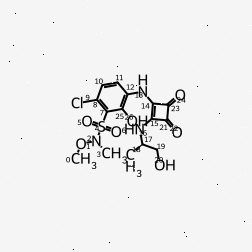 CON(C)S(=O)(=O)c1c(Cl)ccc(Nc2c(N[C@H](C)CO)c(=O)c2=O)c1O